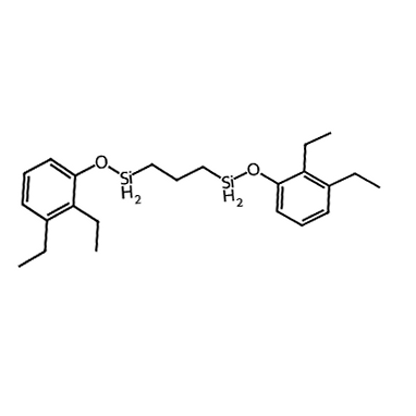 CCc1cccc(O[SiH2]CCC[SiH2]Oc2cccc(CC)c2CC)c1CC